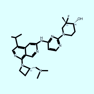 CC(C)c1cnc(N2CC[C@H]2CN(C)C)c2cnc(Nc3ccnc(N4CC[C@@H](O)[C@@](C)(F)C4)n3)cc12